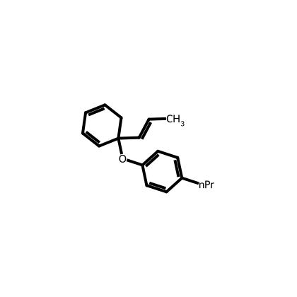 CC=CC1(Oc2ccc(CCC)cc2)C=CC=CC1